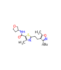 CCCCc1noc(C)c1CCc1nc(C)c(C(=O)NC2CCOC2)s1